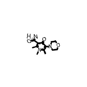 Cc1c(C(N)=O)c(=O)c(N2CCOCC2)c(C)n1C